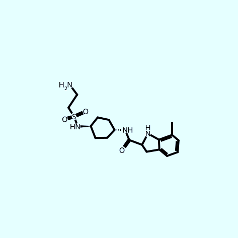 Cc1cccc2c1NC(C(=O)N[C@H]1CC[C@H](NS(=O)(=O)CCN)CC1)C2